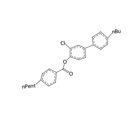 CCCCCc1ccc(C(=O)Oc2ccc(-c3ccc(CCCC)cc3)cc2Cl)cc1